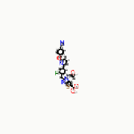 COC(=O)c1cc2c(nc(Cc3ccc(-c4cccc(Oc5ccc(C#N)cc5)n4)cc3F)n2C[C@@H]2CCO2)s1